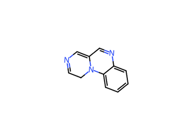 C1=NC=C2C=Nc3ccccc3N2C1